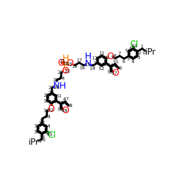 CC(C)Cc1ccc(CCCOc2ccc(CNCCCO[PH](=O)OCCCNCc3ccc(OCCCc4ccc(CC(C)C)c(Cl)c4)c(-c4ccoc4)c3)cc2-c2ccoc2)cc1Cl